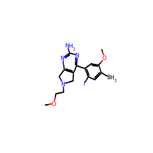 Bc1cc(I)c(-c2nc(N)nc3c2CN(CCOC)C3)cc1OC